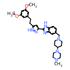 COc1cc(CCc2cc(-c3nc4cc(CN5CCC(N6CCN(C)CC6)CC5)ccc4[nH]3)n[nH]2)cc(OC)c1